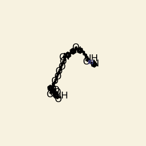 O=C(/C=C/c1cccnc1)NCCCCC1CCN(C(=O)c2ccc(C3CCN(C(=O)COCCOCCOCCOCCOCCSc4cccc5c4C(=O)N(C4CCC(=O)NC4=O)C5=O)CC3)cc2)CC1